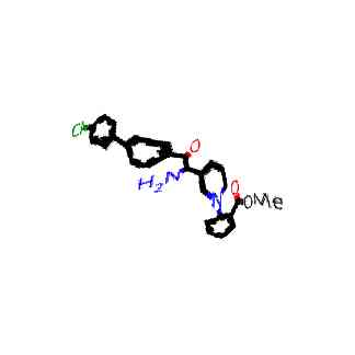 COC(=O)c1ccccc1N1CCCC(C(N)C(=O)c2ccc(-c3ccc(Cl)cc3)cc2)C1